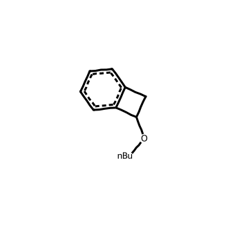 CCCCOC1Cc2ccccc21